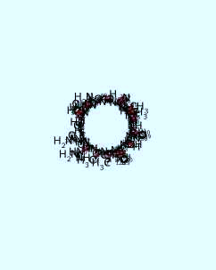 CCCC[C@H]1C(=O)N(C)[C@@H](CCCC)C(=O)N[C@@H](CCCNC(=N)N)C(=O)N[C@H](C(=O)NCC(N)=O)CSCC(=O)N[C@@H](Cc2ccc(O)cc2)C(=O)N(C)[C@@H](C)C(=O)N[C@@H](CC(N)=O)C(=O)N2CCC[C@H]2C(=O)N[C@@H](Cc2cnc[nH]2)C(=O)N[C@@H](CC(C)C)C(=O)N2CC(F)(F)C[C@H]2C(=O)N[C@@H](Cc2c[nH]c3ccccc23)C(=O)N[C@@H](CO)C(=O)N[C@@H](Cc2csc3ccccc23)C(=O)N1C